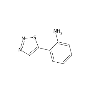 Nc1ccccc1-c1cnns1